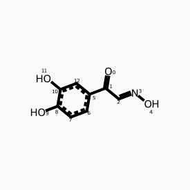 O=C(C=NO)c1ccc(O)c(O)c1